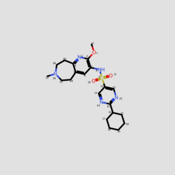 COc1nc2c(cc1NS(=O)(=O)c1cnc(C3CCCCC3)nc1)CCN(C)CC2